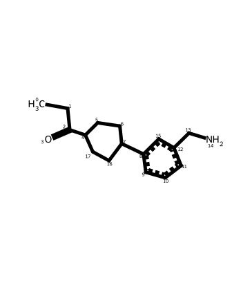 CCC(=O)C1CCC(c2cccc(CN)c2)CC1